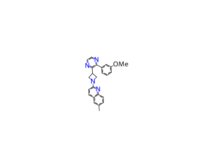 COc1cccc(-c2nccnc2C2CN(c3ccc4cc(C)ccc4n3)C2)c1